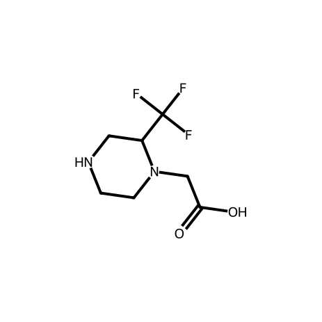 O=C(O)CN1CCNCC1C(F)(F)F